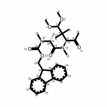 COC(OC)C(C)(C)[C@@H](C(C)=O)N(C)C(=O)[C@@H](C)N(C)C(=O)OCC1c2ccccc2-c2ccccc21